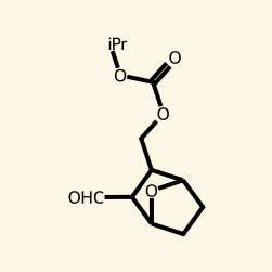 CC(C)OC(=O)OCC1C2CCC(O2)C1C=O